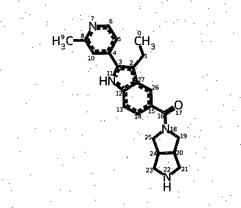 CCc1c(-c2ccnc(C)c2)[nH]c2ccc(C(=O)N3CC4CNCC4C3)cc12